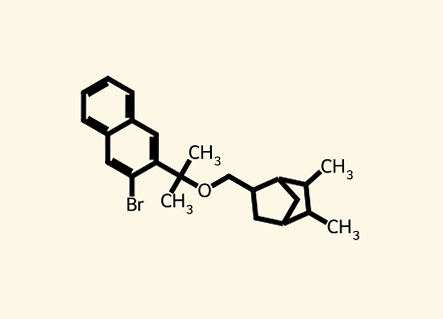 CC1C2CC(COC(C)(C)c3cc4ccccc4cc3Br)C(C2)C1C